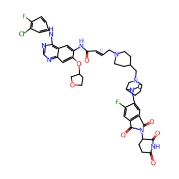 O=C(/C=C/CN1CCC(CN2CC3CCC2CN3c2cc3c(cc2F)C(=O)N(C2CCC(=O)NC2=O)C3=O)CC1)Nc1cc2c(Nc3ccc(F)c(Cl)c3)ncnc2cc1OC1CCOC1